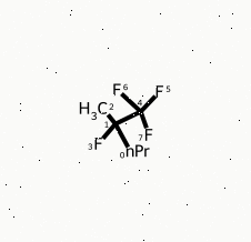 CCCC(C)(F)C(F)(F)F